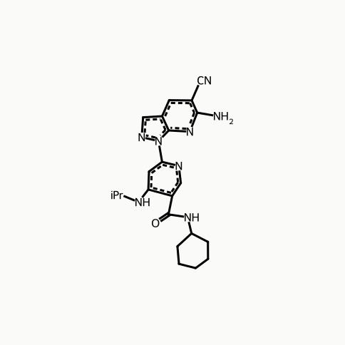 CC(C)Nc1cc(-n2ncc3cc(C#N)c(N)nc32)ncc1C(=O)NC1CCCCC1